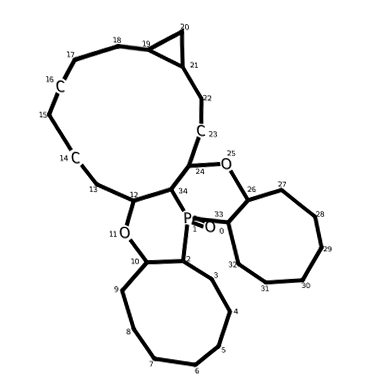 O=P12C3CCCCCCCC3OC3CCCCCCC4CC4CCC(OC4CCCCCCC41)C32